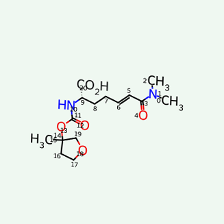 CN(C)C(=O)/C=C/CC[C@H](NC(=O)OC1(C)CCOC1)C(=O)O